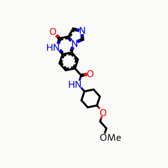 COCCOC1CCC(NC(=O)c2ccc3[nH]c(=O)c4cncn4c3c2)CC1